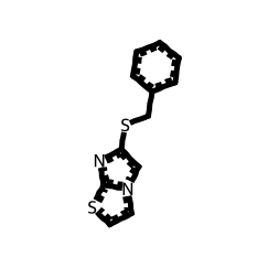 c1ccc(CSc2cn3ccsc3n2)cc1